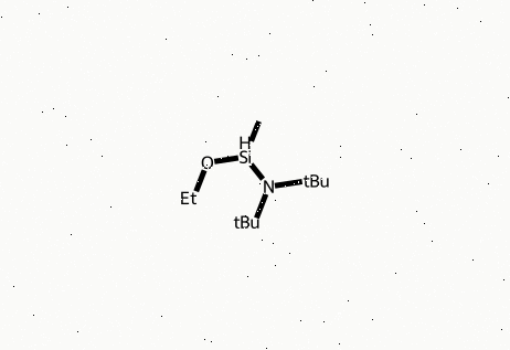 CCO[SiH](C)N(C(C)(C)C)C(C)(C)C